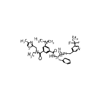 Cc1csc(CN(C)C(=O)c2cc(C(=O)N[C@@H](Cc3ccccc3)[C@H](O)CNCc3cncc(C(C)(F)F)c3)cc(N(C)C)c2)n1